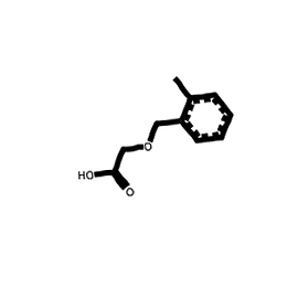 Cc1ccccc1COCC(=O)O